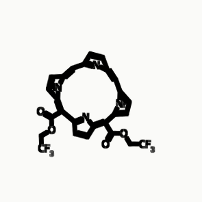 O=C(OCC(F)(F)F)c1c2nc(c(C(=O)OCC(F)(F)F)c3ccc(cc4nc(cc5ccc1[nH]5)C=C4)[nH]3)C=C2